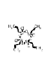 C=CC[Si]1(Cl)O[Si](Cl)(CC=C)O[Si](Cl)(CC=C)O[Si](Cl)(CC=C)O1